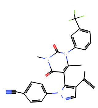 C=C(C)c1cnn(-c2ccc(C#N)cc2)c1-c1c(C)n(-c2cccc(C(F)(F)F)c2)c(=O)n(C)c1=O